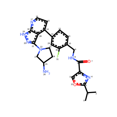 CC(C)c1nc(C(=O)NCc2ccc(-c3ccnc4[nH]nc(N5CCC(N)C5)c34)cc2F)co1